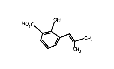 CC(C)=Cc1cccc(C(=O)O)c1O